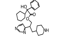 O=C(OCC(CC1CCNCC1)c1ccncn1)C(O)(c1ccccc1)C1CCCCC1